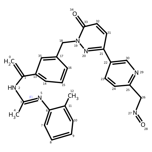 C=C(N/C(C)=N/c1ccccc1C)c1cccc(Cn2nc(-c3ccc(CN=O)nc3)ccc2=O)c1